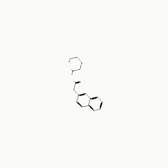 O=C(Cc1ccc2ccccc2c1)OC1CCCCO1